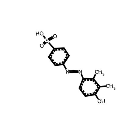 Cc1c(O)ccc(N=Nc2ccc(S(=O)(=O)O)cc2)c1C